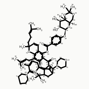 CC(C)=CCCC1(C)C=Cc2c(c(CC=C(C)C)c3c(c2OC(=O)c2ccc(O[C@@H]4O[C@@H]5COC(C)(C)O[C@H]5[C@H](O)[C@H]4O)cc2)C(=O)C2C(N4CCOCC4)C4CC5C(C)(C)OC(C/C=C(/C)C(=O)N6CCCCC6)(C4=O)C25O3)O1